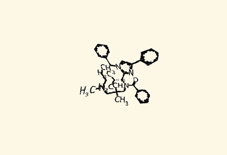 CCCN(C)CC(C)(C)CN(C(=O)c1ccccc1)[C@@H](c1nc(-c2ccccc2)cn1Cc1ccccc1)C(C)C